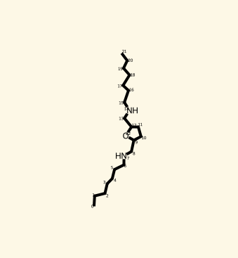 CCCCCCCNCC1CCC(CNCCCCCCC)O1